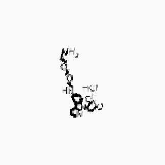 Cl.NCCOCCOCCNc1ccc2c(c1)c1cccnc1n2C1CCC(=O)NC1=O